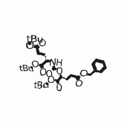 CC(C)(C)OC(=O)CC[C@H](NC(=O)O[C@@H](CCC(=O)OCc1ccccc1)C(=O)OC(C)(C)C)C(=O)OC(C)(C)C